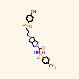 Cc1ccc(S(=O)(=O)NC(=O)N2CC3CN(CCCS(=O)(=O)c4ccc(C#N)cc4)CC3C2)cc1